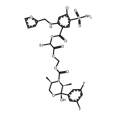 CCC(OC(=O)c1cc(S(N)(=O)=O)c(Cl)cc1NCc1ccco1)C(=O)OCOC(=O)N1[C@H](C)CO[C@@](O)(c2cc(F)cc(F)c2)[C@@H]1C